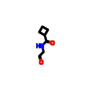 O=CCNC(=O)C1CCC1